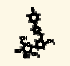 Cc1ccc(C2OC(CO)[C@@H](O)C(O)[C@H]2C)cc1Cc1ccc(-c2ccc(F)cc2)s1